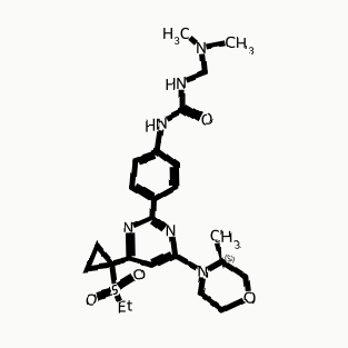 CCS(=O)(=O)C1(c2cc(N3CCOC[C@@H]3C)nc(-c3ccc(NC(=O)NCN(C)C)cc3)n2)CC1